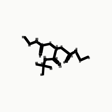 CCOC(=O)CN(CC(=O)OCC)C(=O)OC(C)(C)C